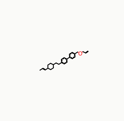 C=CCOCc1ccc(-c2ccc(CCC3CCC(/C=C/C)CC3)cc2)cc1